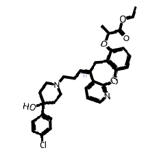 CCOC(=O)C(C)Oc1cccc2c1C/C(=C/CCN1CCC(O)(c3ccc(Cl)cc3)CC1)c1cccnc1O2